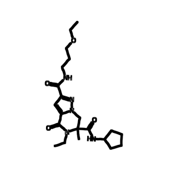 CCOCCCNC(=O)c1cc2n(n1)CC(C)(C(=O)NC1CCCC1)N(CC)C2=O